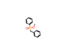 COP(=O)(Cc1ccccc1)c1ccccc1